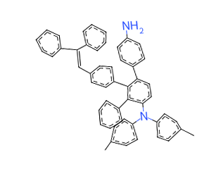 Cc1ccc(N(c2ccc(C)cc2)c2ccc(-c3ccc(N)cc3)c(-c3ccc(C=C(c4ccccc4)c4ccccc4)cc3)c2-c2ccccc2)cc1